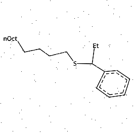 CCCCCCCCCCCCSC(CC)c1cc[c]cc1